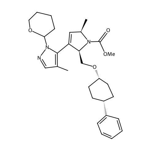 COC(=O)N1[C@H](C)C=C(c2c(C)cnn2C2CCCCO2)[C@@H]1CO[C@H]1CC[C@@H](c2ccccc2)CC1